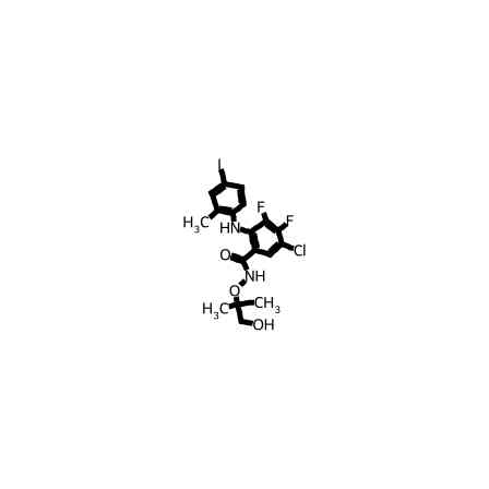 Cc1cc(I)ccc1Nc1c(C(=O)NOC(C)(C)CO)cc(Cl)c(F)c1F